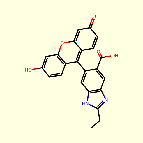 CCc1nc2cc(C(=O)O)c(-c3c4ccc(=O)cc-4oc4cc(O)ccc34)cc2[nH]1